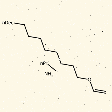 C=COCCCCCCCCCCCCCCCCCC.N.[CH2]CCC